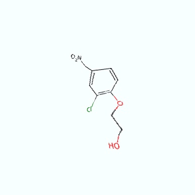 O=[N+]([O-])c1ccc(OCCO)c(Cl)c1